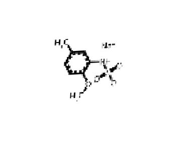 COc1ccc(C)cc1NS(=O)(=O)[O-].[Na+]